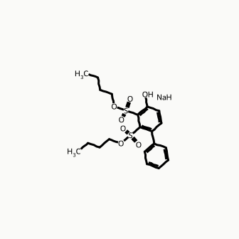 CCCCOS(=O)(=O)c1c(O)ccc(-c2ccccc2)c1S(=O)(=O)OCCCC.[NaH]